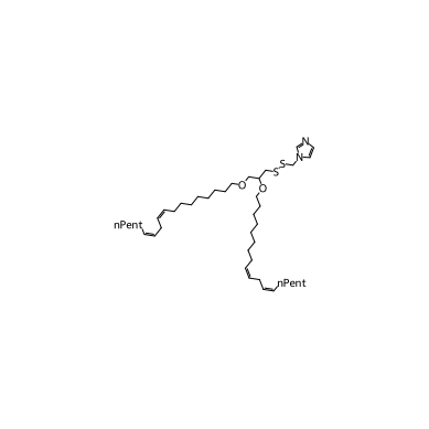 CCCCC/C=C\C/C=C\CCCCCCCCOCC(CSSCn1ccnc1)OCCCCCCCC/C=C\C/C=C\CCCCC